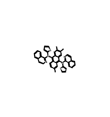 Cc1ccc2c(N(c3cccs3)c3nccc4ccccc34)c3cc(C)c(C)cc3c(N(c3cccs3)c3nccc4ccccc34)c2c1